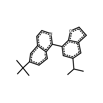 CC(C)c1cc(-c2nccc3cc(C(C)(C)C)ccc23)c2occc2c1